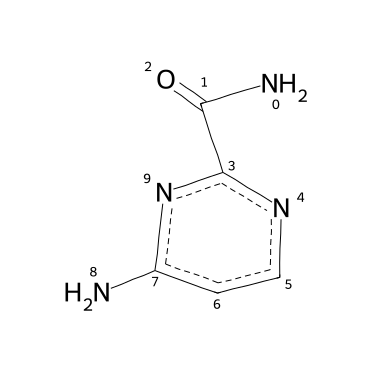 NC(=O)c1nccc(N)n1